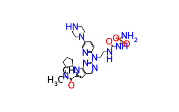 CN(C)C(=O)c1cc2cnc(N(CCNC(=O)NS(N)(=O)=O)c3ccc(N4CCNCC4)cn3)nc2n1C1CCCC1